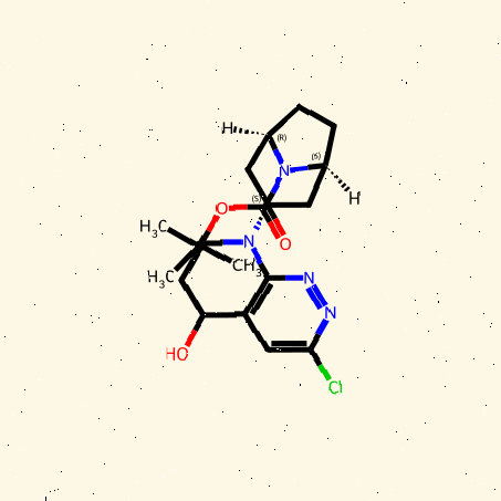 CC(C)(C)OC(=O)N1[C@@H]2CC[C@H]1C[C@H](N1CCC(O)c3cc(Cl)nnc31)C2